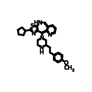 COc1ccc(CCC2CN(C3=c4ncccc4=CNc4sc(C5CCCC5)nc43)CCN2)cc1